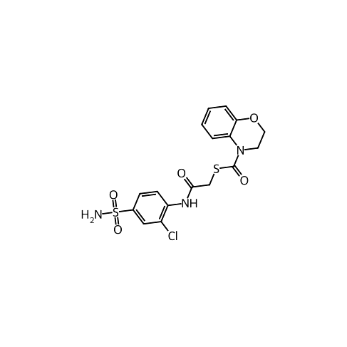 NS(=O)(=O)c1ccc(NC(=O)CSC(=O)N2CCOc3ccccc32)c(Cl)c1